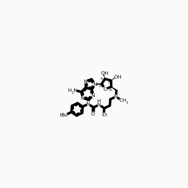 CCC(CCN(C)C[C@H]1O[C@@H](n2cnc3c(N)ncnc32)[C@H](O)[C@@H]1O)NC(=O)Nc1ccc(C(C)(C)C)cc1